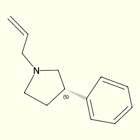 C=CCN1CC[C@@H](c2ccccc2)C1